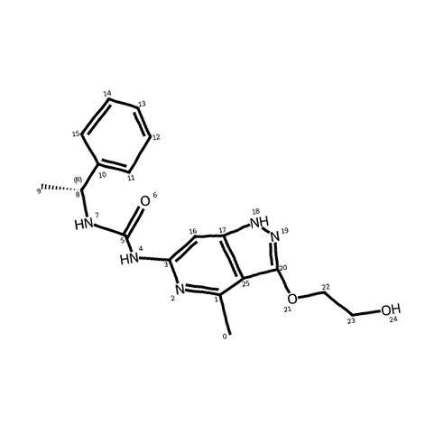 Cc1nc(NC(=O)N[C@H](C)c2ccccc2)cc2[nH]nc(OCCO)c12